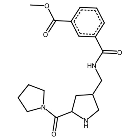 COC(=O)c1cccc(C(=O)NCC2CNC(C(=O)N3CCCC3)C2)c1